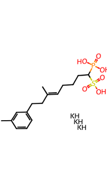 C/C(=C\CCCC(P(=O)(O)O)S(=O)(=O)O)CCc1cccc(C)c1.[KH].[KH].[KH]